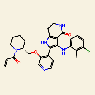 C=CC(=O)N1CCCC[C@@H]1COc1cnccc1-c1[nH]c2c(c1Nc1cccc(F)c1C)C(=O)NCC2